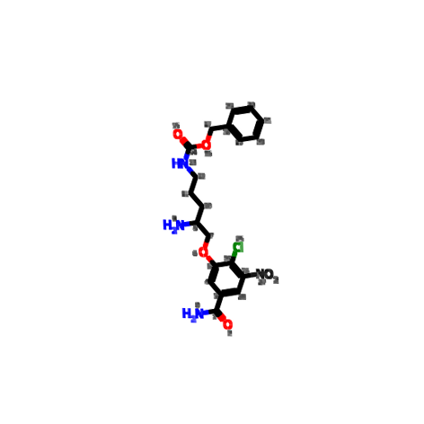 NC(=O)c1cc(OCC(N)CCCNC(=O)OCc2ccccc2)c(Cl)c([N+](=O)[O-])c1